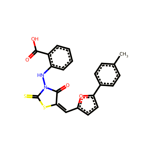 Cc1ccc(-c2ccc(C=C3SC(=S)N(Nc4ccccc4C(=O)O)C3=O)o2)cc1